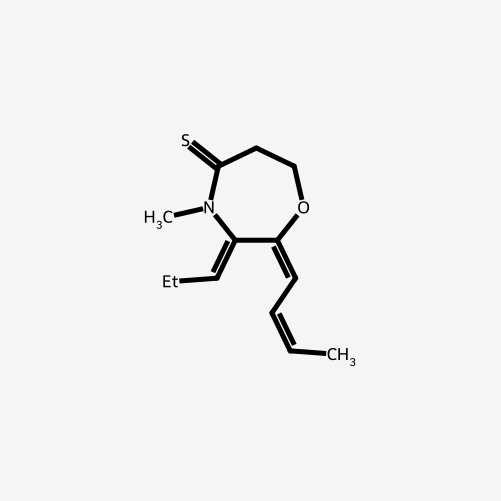 C\C=C/C=C1/OCCC(=S)N(C)/C1=C\CC